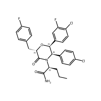 CCC[C@@H](C(N)=O)N1C(=O)[C@H](Cc2ccc(F)cc2)O[C@@H](c2ccc(Cl)c(F)c2)[C@H]1c1ccc(Cl)cc1